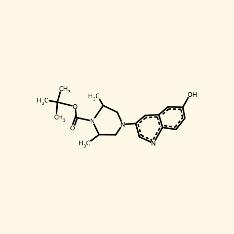 CC1CN(c2cnc3ccc(O)cc3c2)CC(C)N1C(=O)OC(C)(C)C